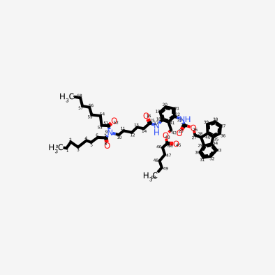 CCCCCCCC(=O)N(CCCCCC(=O)Nc1cccc(NC(=O)OCC2c3ccccc3-c3ccccc32)c1COC(=O)CCCCC)C(=O)CCCCCCC